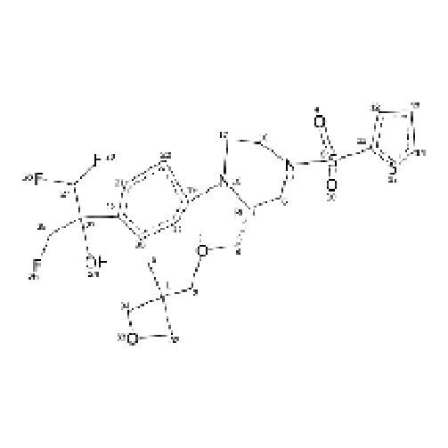 CC1(COC[C@H]2CN(S(=O)(=O)c3cccs3)CCN2c2ccc(C(O)(CF)C(F)F)cc2)COC1